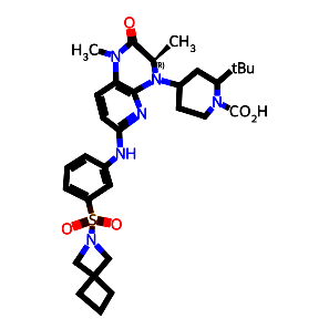 C[C@@H]1C(=O)N(C)c2ccc(Nc3cccc(S(=O)(=O)N4CC5(CCC5)C4)c3)nc2N1C1CCN(C(=O)O)C(C(C)(C)C)C1